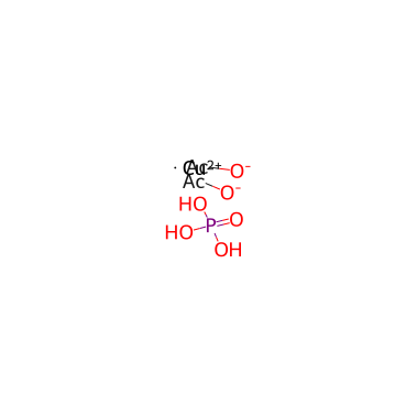 CC(=O)[O-].CC(=O)[O-].O=P(O)(O)O.[Cu+2]